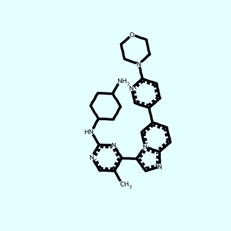 Cc1cnc(NC2CCC(N)CC2)nc1-c1cnc2ccc(-c3ccc(N4CCOCC4)nc3)cn12